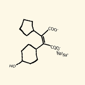 O=C([O-])C(=C(C(=O)[O-])C1CCC(O)CC1)C1CCCC1.[Na+].[Na+]